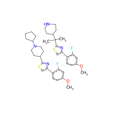 COc1ccc(-c2csc(C(C)(C)C3CCNCC3)n2)c(F)c1.COc1ccc(-c2csc(C3CCN(C4CCCC4)CC3)n2)c(F)c1